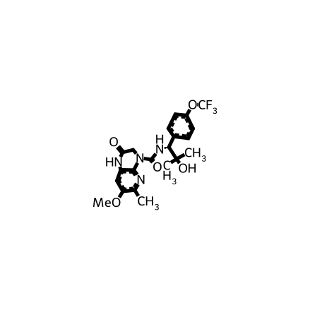 COc1cc2c(nc1C)N(C(=O)N[C@H](c1ccc(OC(F)(F)F)cc1)C(C)(C)O)CC(=O)N2